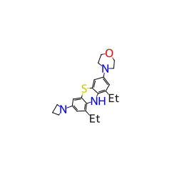 CCc1cc(N2CCC2)cc2c1Nc1c(CC)cc(N3CCOCC3)cc1S2